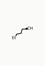 C#CC[CH]CCC